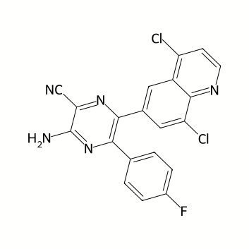 N#Cc1nc(-c2cc(Cl)c3nccc(Cl)c3c2)c(-c2ccc(F)cc2)nc1N